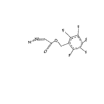 [N-]=[N+]=CC(=O)OCc1c(F)c(F)c(F)c(F)c1F